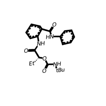 CC[C@@H](OC(=O)NC(C)(C)C)C(=O)Nc1ccccc1C(=O)Nc1ccccc1